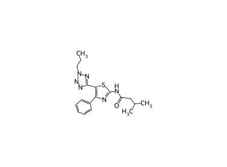 CCCn1nnc(-c2sc(NC(=O)CC(C)C)nc2-c2ccccc2)n1